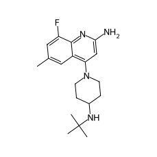 Cc1cc(F)c2nc(N)cc(N3CCC(NC(C)(C)C)CC3)c2c1